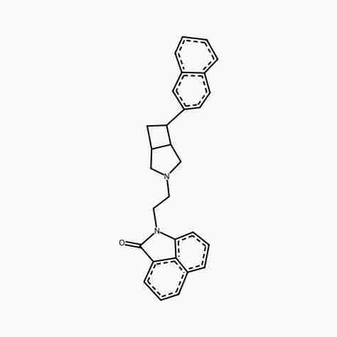 O=C1c2cccc3cccc(c23)N1CCN1CC2CC(c3ccc4ccccc4c3)C2C1